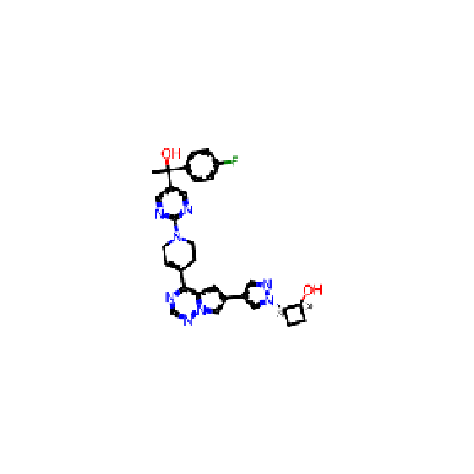 CC(O)(c1ccc(F)cc1)c1cnc(N2CC=C(c3ncnn4cc(-c5cnn([C@H]6CC[C@@H]6O)c5)cc34)CC2)nc1